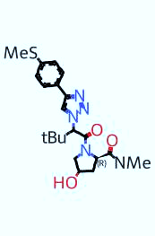 CNC(=O)[C@H]1CC(O)CN1C(=O)C(n1cc(-c2ccc(SC)cc2)nn1)C(C)(C)C